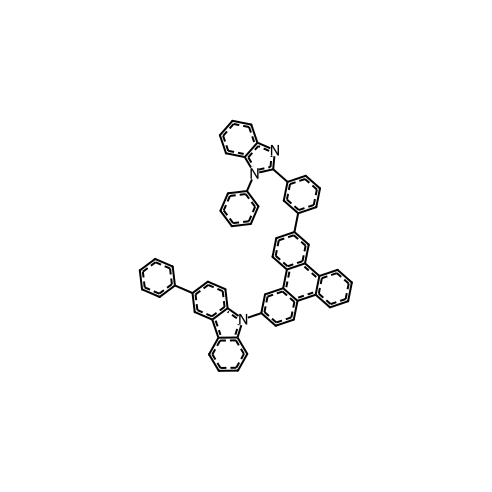 c1ccc(-c2ccc3c(c2)c2ccccc2n3-c2ccc3c4ccccc4c4cc(-c5cccc(-c6nc7ccccc7n6-c6ccccc6)c5)ccc4c3c2)cc1